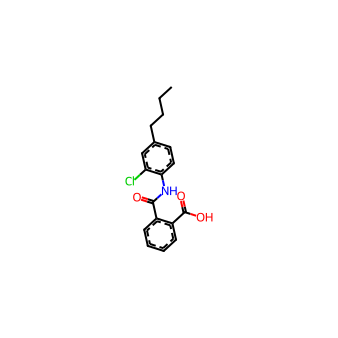 CCCCc1ccc(NC(=O)c2ccccc2C(=O)O)c(Cl)c1